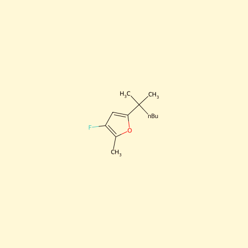 CCCCC(C)(C)c1cc(F)c(C)o1